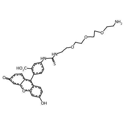 NCCOCCOCCOCCNC(=S)Nc1ccc(-c2c3ccc(=O)cc-3oc3cc(O)ccc23)c(C(=O)O)c1